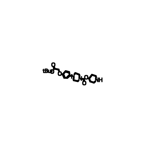 CC(C)(C)OC(=O)COc1ccc(N2CCN(C(=O)OC3CCNCC3)CC2)cc1